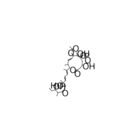 CCC(O)C(C)C1OC1CC(C)(O)/C=C/C=C(\C)C1OC(=O)CC(O)CC(OC(C)=O)C(C)(O)C(OC(C)=O)/C=C/C1C